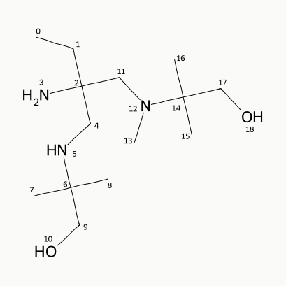 CCC(N)(CNC(C)(C)CO)CN(C)C(C)(C)CO